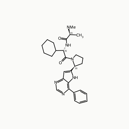 CN[C@@H](C)C(=O)N[C@H](C(=O)N1CCC[C@H]1c1cc2ncnc(-c3ccccc3)c2[nH]1)C1CCCCC1